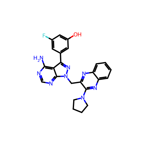 Nc1ncnc2c1c(-c1cc(O)cc(F)c1)nn2Cc1nc2ccccc2nc1N1CCCC1